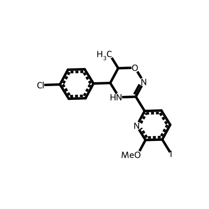 COc1nc(C2=NOC(C)C(c3ccc(Cl)cc3)N2)ccc1I